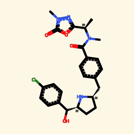 C[C@H](c1nn(C)c(=O)o1)N(C)C(=O)c1ccc(C[C@@H]2CC[C@H](C(O)c3ccc(Cl)cc3)N2)cc1